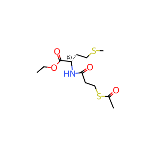 CCOC(=O)[C@H](CCSC)NC(=O)CCSC(C)=O